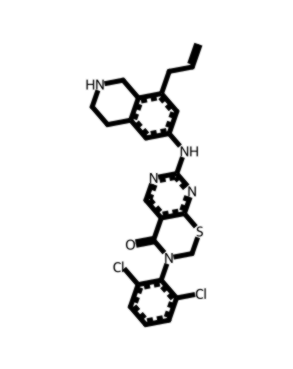 C=CCc1cc(Nc2ncc3c(n2)SCN(c2c(Cl)cccc2Cl)C3=O)cc2c1CNCC2